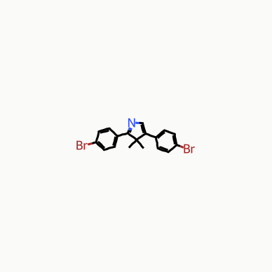 CC1(C)C(c2ccc(Br)cc2)=CN=C1c1ccc(Br)cc1